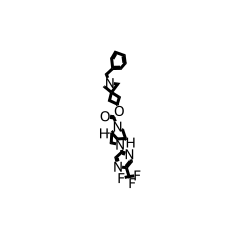 O=C(OC1CC2(C1)CN(Cc1ccccc1)C2)N1C[C@@H]2C[C@H]1CN2c1cnc(C(F)(F)F)cn1